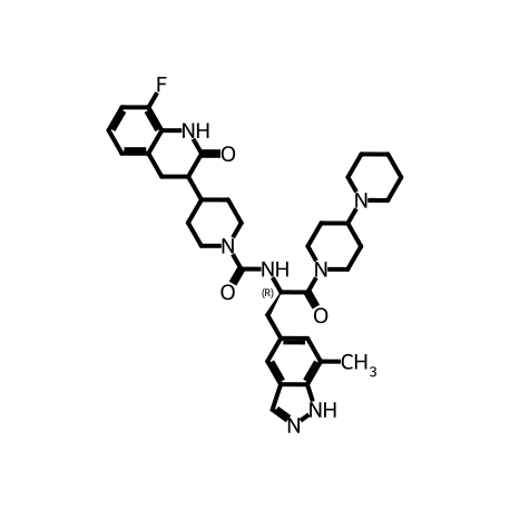 Cc1cc(C[C@@H](NC(=O)N2CCC(C3Cc4cccc(F)c4NC3=O)CC2)C(=O)N2CCC(N3CCCCC3)CC2)cc2cn[nH]c12